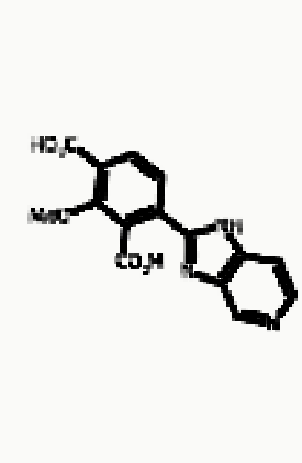 COc1c(C(=O)O)ccc(-c2nc3cnccc3[nH]2)c1C(=O)O